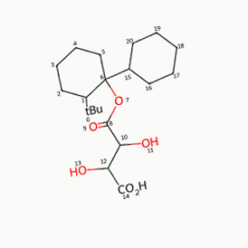 CC(C)(C)C1CCCCC1(OC(=O)C(O)C(O)C(=O)O)C1CCCCC1